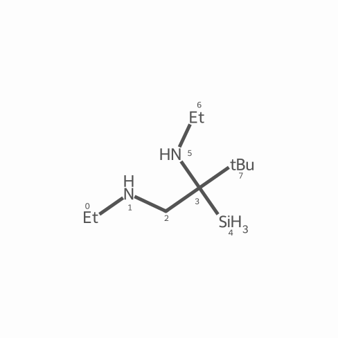 CCNCC([SiH3])(NCC)C(C)(C)C